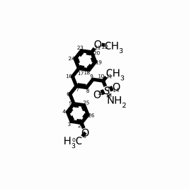 COc1ccc(CC(=CCC(C)S(N)(=O)=O)Cc2ccc(OC)cc2)cc1